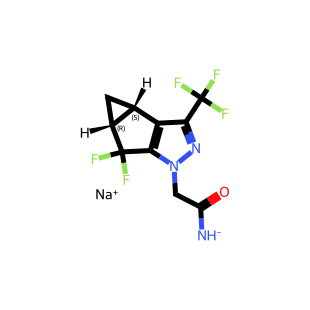 [NH-]C(=O)Cn1nc(C(F)(F)F)c2c1C(F)(F)[C@@H]1C[C@H]21.[Na+]